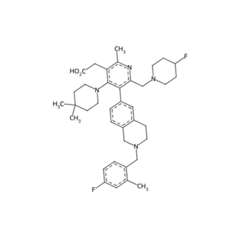 Cc1cc(F)ccc1CN1CCc2cc(-c3c(CN4CCC(F)CC4)nc(C)c(CC(=O)O)c3N3CCC(C)(C)CC3)ccc2C1